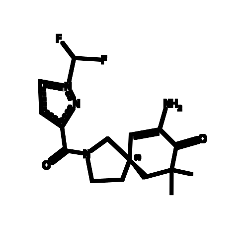 CC1(C)C[C@@]2(C=C(N)C1=O)CCN(C(=O)c1ccn(C(F)F)n1)C2